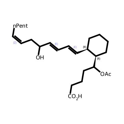 CCCCC/C=C\CC(O)/C=C/C=C/[C@H]1CCCC[C@H]1C(CCCC(=O)O)OC(C)=O